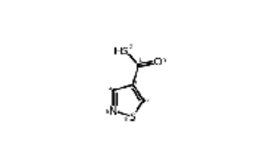 O=C(S)c1cnsc1